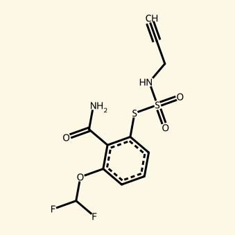 C#CCNS(=O)(=O)Sc1cccc(OC(F)F)c1C(N)=O